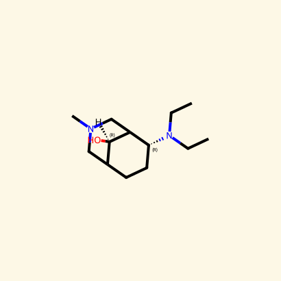 CCN(CC)[C@@H]1CCC2CN(C)CC1[C@@H]2O